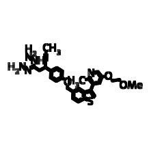 CC#CC(C/C(=N/N)NN)c1ccc(OCc2ccc3scc(-c4cc(OCCOC)cnc4C)c3c2)cc1